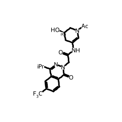 CC(=O)N1C=C(NC(=O)Cn2nc(C(C)C)c3cc(C(F)(F)F)ccc3c2=O)C[C@@H](O)C1